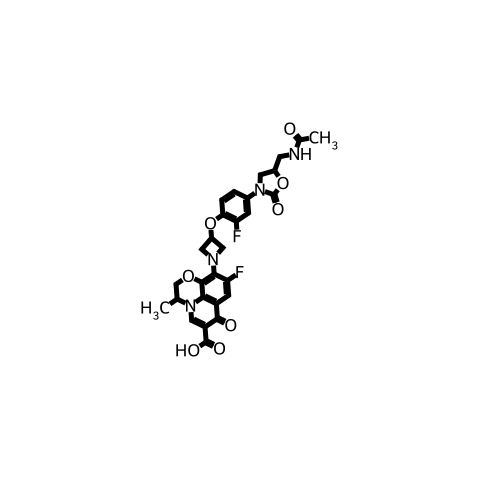 CC(=O)NCC1CN(c2ccc(OC3CN(c4c(F)cc5c(=O)c(C(=O)O)cn6c5c4OCC6C)C3)c(F)c2)C(=O)O1